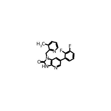 Cc1cccnc1Cn1c(=O)[nH]c2ncc(-c3cccc(F)c3F)cc21